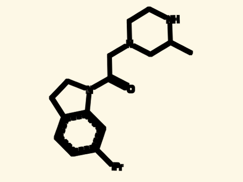 CC1CN(CC(=O)N2CCc3ccc(C(C)C)cc32)CCN1